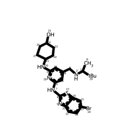 CC(NCc1cc(Nc2nc3ccc(Br)cc3s2)nc(NC2CCC(O)CC2)c1)C(C)(C)C